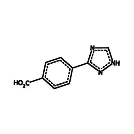 O=C(O)c1ccc(-c2nc[nH]n2)cc1